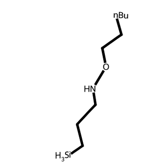 CCCCCCONCCC[SiH3]